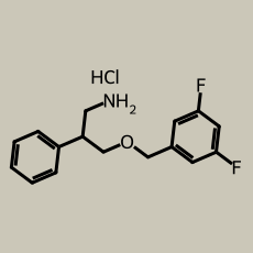 Cl.NCC(COCc1cc(F)cc(F)c1)c1ccccc1